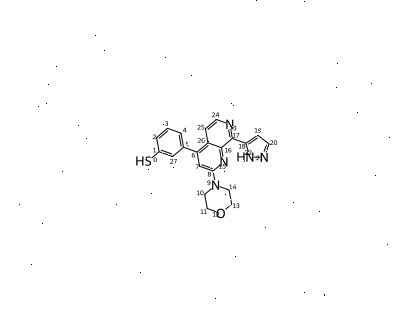 Sc1cccc(-c2cc(N3CCOCC3)nc3c(-c4ccn[nH]4)nccc23)c1